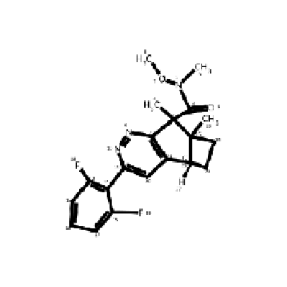 CON(C)C(=O)C1(C)c2nnc(-c3c(F)cccc3F)cc2[C@H]2CCC21C